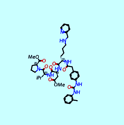 COC(=O)C[C@H](NC(=O)[C@H](CCCCNCc1ccccn1)NC(=O)Cc1ccc(NC(=O)Nc2ccccc2C)cc1)C(=O)N[C@H](C(=O)N1CCC[C@H]1C(=O)OC)C(C)C